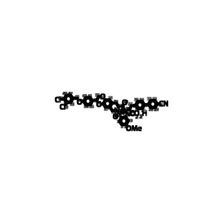 COc1ccc(S(=O)(=O)N2Cc3cc4c(cc3C[C@H]2C(=O)N[C@@H](Cc2ccc(-c3ccc(C#N)cc3)cc2)C(=O)O)OC[C@H](c2ccc(OCc3ccc(Cl)c(Cl)c3)cc2)O4)c([N+](=O)[O-])c1